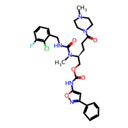 CN1CCN(C(=O)CC[C@@H](COC(=O)Nc2cc(-c3ccccc3)no2)N(C)C(=O)NCc2cccc(F)c2Cl)CC1